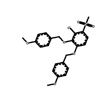 COc1ccc(COc2ccc(S(C)(=O)=O)c(Cl)c2OCc2ccc(OC)cc2)cc1